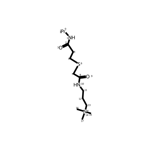 CC(C)NC(=O)CCSCC(=O)NCCC[N+](C)(C)C